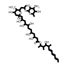 C/C=C/C=C/C=C/C(C)C(O)C(C)C(C)OC(=O)CC(O)CC(O)CCC(O)C(O)CC(O)CC1(O)CC(O)C(C(=O)O)C(CC(C)OC2OC(C)C(O)C(N)C2O)O1